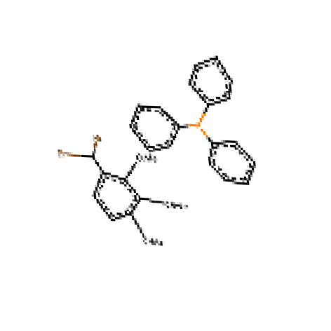 COc1ccc(C(Br)Br)c(OC)c1OC.c1ccc(P(c2ccccc2)c2ccccc2)cc1